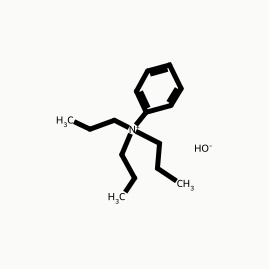 CCC[N+](CCC)(CCC)c1ccccc1.[OH-]